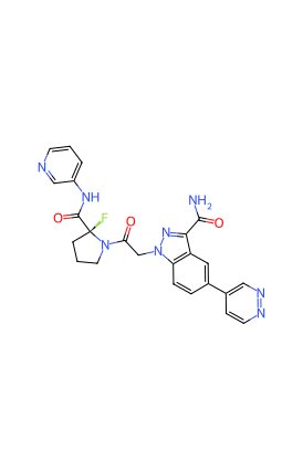 NC(=O)c1nn(CC(=O)N2CCC[C@]2(F)C(=O)Nc2cccnc2)c2ccc(-c3ccnnc3)cc12